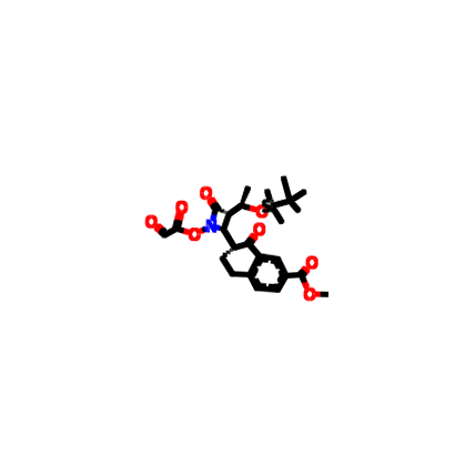 COC(=O)c1ccc2c(c1)C(=O)[C@@H]([C@@H]1[C@@H]([C@@H](C)O[Si](C)(C)C(C)(C)C)C(=O)N1OC(=O)C=O)CC2